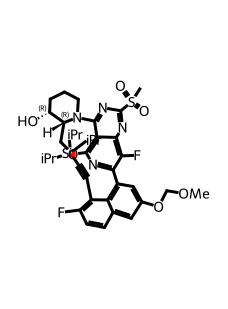 COCOc1cc(-c2nc3c4c(nc(S(C)(=O)=O)nc4c2F)N2CCC[C@@H](O)[C@H]2CO3)c2c(C#C[Si](C(C)C)(C(C)C)C(C)C)c(F)ccc2c1